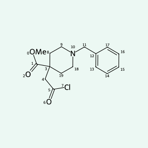 COC(=O)C1(CC(=O)Cl)CCN(Cc2ccccc2)CC1